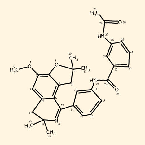 COc1cc2c(c3c1OC(C)(C)C3)C(c1cccc(NC(=O)c3cccc(NC(C)=O)c3)c1)=NC(C)(C)C2